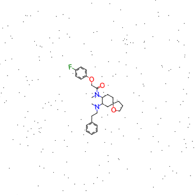 CN(CCc1ccccc1)C1CC2(CCCO2)CCC1N(C)C(=O)COc1ccc(F)cc1